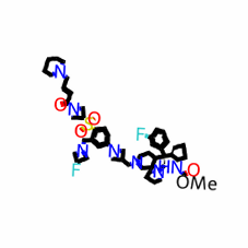 COC(=O)N[C@H]1CCC[C@@H]1[C@](CN1CCCC1)(c1cccc(F)c1)C1CCN(CC2CN(c3ccc(S(=O)(=O)C4CN(C(=O)/C=C/CN5CCCCC5)C4)c(CN4CC(F)C4)c3)C2)CC1